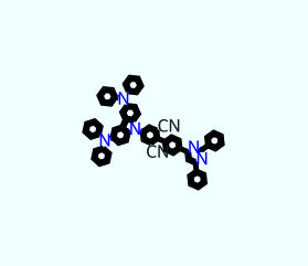 N#Cc1cc(-n2c3ccc(N(c4ccccc4)c4ccccc4)cc3c3cc(N(c4ccccc4)c4ccccc4)ccc32)cc(C#N)c1-c1ccc(-c2cc(-c3ccccc3)nc(-c3ccccc3)n2)cc1